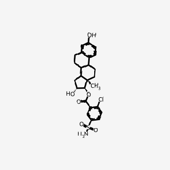 C[C@]12CCC3c4ccc(O)cc4CCC3C1C[C@@H](O)[C@@H]2OC(=O)c1cc(S(N)(=O)=O)ccc1Cl